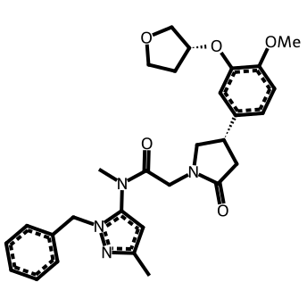 COc1ccc([C@@H]2CC(=O)N(CC(=O)N(C)c3cc(C)nn3Cc3ccccc3)C2)cc1O[C@@H]1CCOC1